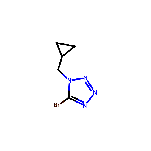 Brc1nnnn1CC1CC1